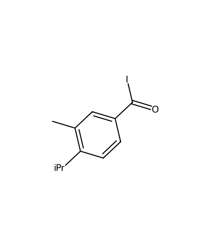 Cc1cc(C(=O)I)ccc1C(C)C